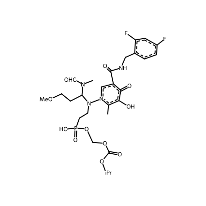 COCCC(N(C)C=O)N(CCP(=O)(O)OCOC(=O)OC(C)C)n1cc(C(=O)NCc2ccc(F)cc2F)c(=O)c(O)c1C